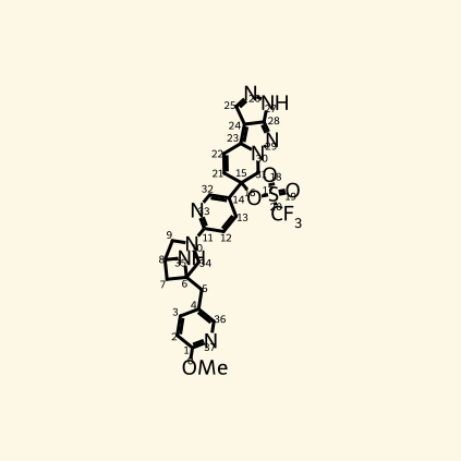 COc1ccc(CC23CC(CN(c4ccc(C5(OS(=O)(=O)C(F)(F)F)C=Cc6c7cn[nH]c7nn6C5)cn4)C2)N3)cn1